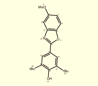 COc1ccc2oc(-c3cc(C(C)(C)C)c(O)c(C(C)(C)C)c3)nc2c1